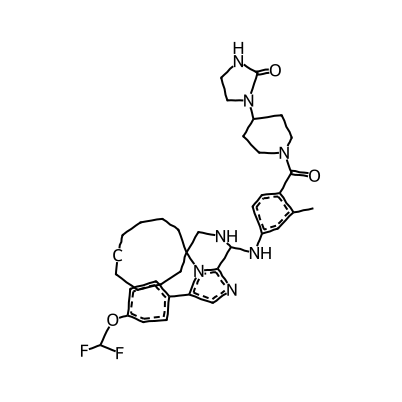 Cc1cc(NC2NCC3(CCCCCCCCC3)n3c(-c4ccc(OC(F)F)cc4)cnc32)ccc1C(=O)N1CCC(N2CCNC2=O)CC1